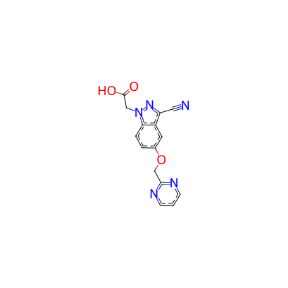 N#Cc1nn(CC(=O)O)c2ccc(OCc3ncccn3)cc12